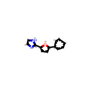 c1ccc(-c2ccc(-c3ncc[nH]3)o2)cc1